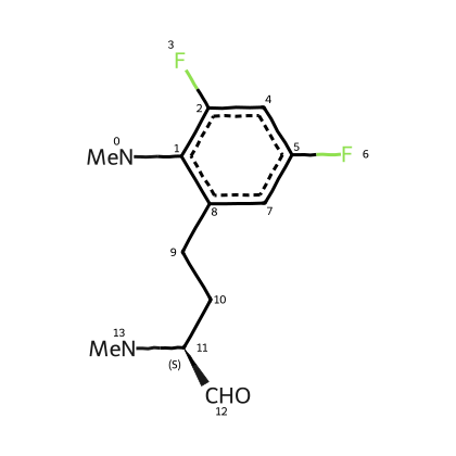 CNc1c(F)cc(F)cc1CC[C@@H](C=O)NC